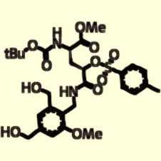 COC(=O)[C@@H](C[C@@H](OS(=O)(=O)c1ccc(C)cc1)C(=O)NCc1c(CO)cc(CO)cc1OC)NC(=O)OC(C)(C)C